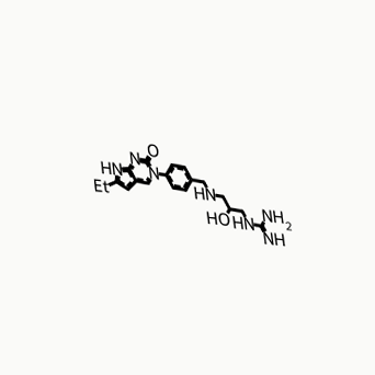 CCc1cc2cn(-c3ccc(CNCC(O)CNC(=N)N)cc3)c(=O)nc2[nH]1